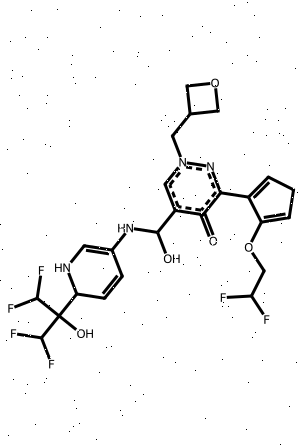 O=c1c(C(O)NC2=CNC(C(O)(C(F)F)C(F)F)C=C2)cn(CC2COC2)nc1C1=CCC=C1OCC(F)F